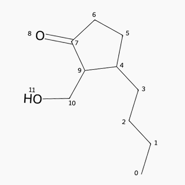 CCCCC1CCC(=O)C1CO